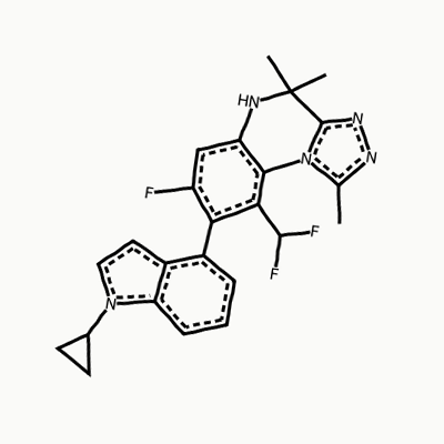 Cc1nnc2n1-c1c(cc(F)c(-c3cccc4c3ccn4C3CC3)c1C(F)F)NC2(C)C